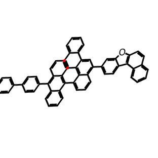 c1ccc(-c2ccc(-c3c4ccccc4c(-c4cccc5c(-c6ccc7c(c6)oc6ccc8ccccc8c67)cc6c7ccccc7ccc6c45)c4ccccc34)cc2)cc1